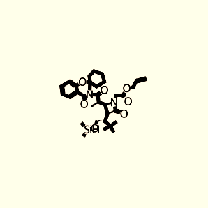 C=CCOC(=O)CN1C(=O)[C@@H]([C@@H](CO[SiH](C)C)C(C)(C)C)[C@H]1[C@@H](C)C(=O)N1C(=O)c2ccccc2OC12CCCCC2